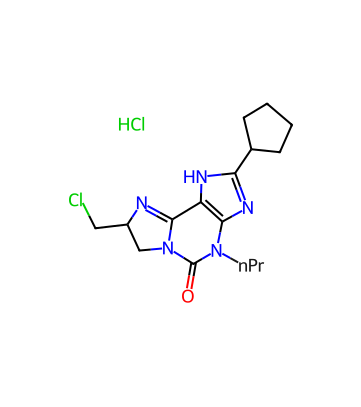 CCCN1C(=O)N2CC(CCl)N=C2c2[nH]c(C3CCCC3)nc21.Cl